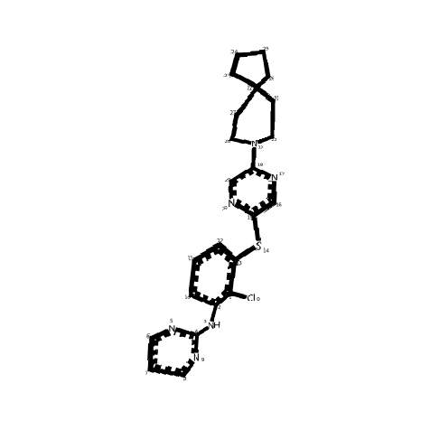 Clc1c(Nc2ncccn2)cccc1Sc1cnc(N2CCC3(CCCC3)CC2)cn1